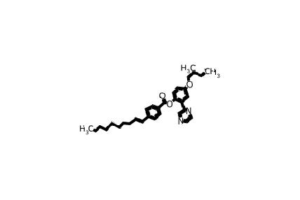 CCCCCCCCCCc1ccc(C(=O)Oc2ccc(OCC(C)CC)cc2-c2cnccn2)cc1